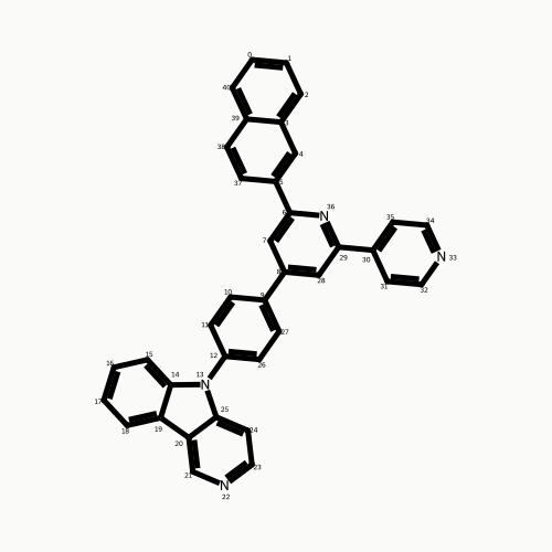 c1ccc2cc(-c3cc(-c4ccc(-n5c6ccccc6c6cnccc65)cc4)cc(-c4ccncc4)n3)ccc2c1